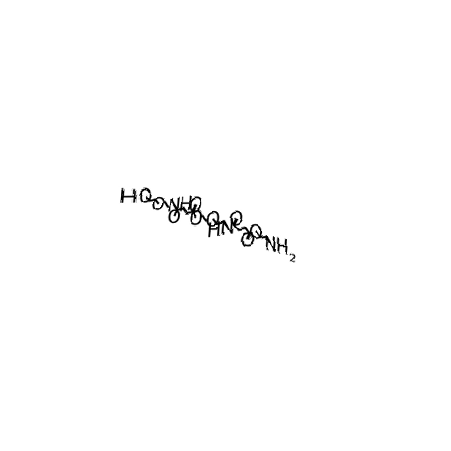 NCCOC(=O)CCC(=O)NCCOCCOC(=O)CCC(=O)NCCOCCO